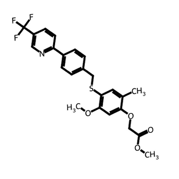 COC(=O)COc1cc(OC)c(SCc2ccc(-c3ccc(C(F)(F)F)cn3)cc2)cc1C